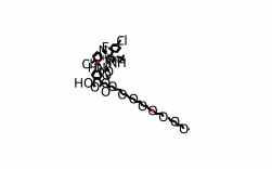 COCCOCCOCCOCCOCCOCCOCCOC(=O)OC(C)c1c(C(=O)O)ccc(NC(=O)[C@@H]2N[C@@H](CC(C)(C)C)[C@](C#N)(c3ccc(Cl)cc3F)[C@H]2c2cccc(Cl)c2F)c1OC